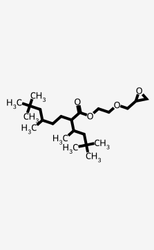 CC(CCC(C(=O)OCCOCC1CO1)C(C)CC(C)(C)C)CC(C)(C)C